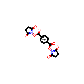 O=C1CCC(=O)N1OC(=O)C12CCC(C(=O)ON3C(=O)CCC3=O)(CC1)CC2